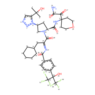 CC(C)(O)c1cnnn1[C@H]1C[C@@H](C(=O)NC2(C(=O)C(N)=O)CCOCC2)N(C(=O)/C(CC2CCCCC2)=N/C(=O)c2ccc(C(O)(C(F)(F)F)C(F)(F)F)cc2)C1